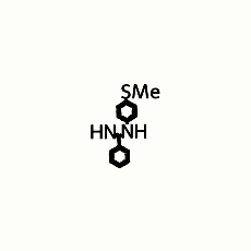 CSc1ccc(NC(=N)c2ccccc2)cc1